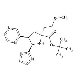 CSCC[C@@]1(C(=O)OC(C)(C)C)C[C@H](c2cnccn2)[C@H](c2nccs2)N1